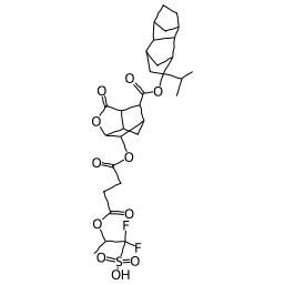 CC(C)C1(OC(=O)C2C3CC4C(OC(=O)C42)C3OC(=O)CCC(=O)OC(C)C(F)(F)S(=O)(=O)O)CC2CC1C1C3CCC(C3)C21